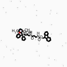 COc1ccccc1C(OC[C@H](O)CNC(=O)CCNC(=O)OCC1c2ccccc2-c2ccccc21)(c1ccccc1)c1ccccc1OC